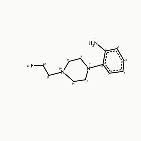 Nc1ccccc1N1CCN(CCF)CC1